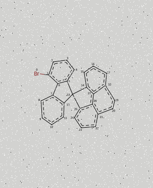 Brc1cccc2c1-c1ccccc1C21c2cccc3ccc4cccc1c4c23